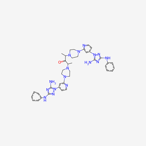 CC(C(=O)C(C)N1CCN(c2cc(-n3nc(Nc4ccccc4)nc3N)ccn2)CC1)N1CCN(c2cc(-n3nc(Nc4ccccc4)nc3N)ccn2)CC1